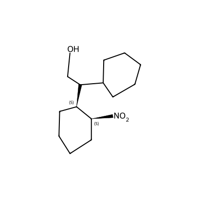 O=[N+]([O-])[C@H]1CCCC[C@H]1C(CO)C1CCCCC1